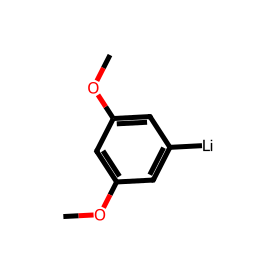 [Li][c]1cc(OC)cc(OC)c1